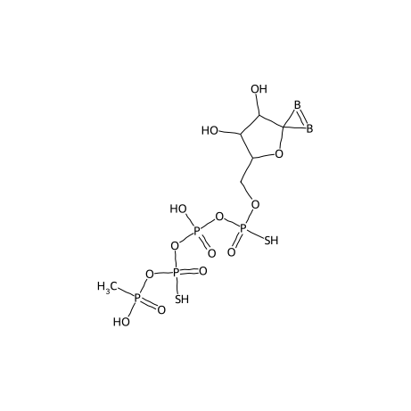 CP(=O)(O)OP(=O)(S)OP(=O)(O)OP(=O)(S)OCC1OC2(B=B2)C(O)C1O